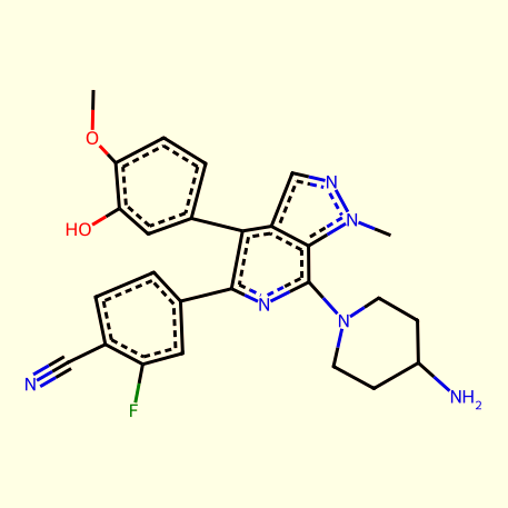 COc1ccc(-c2c(-c3ccc(C#N)c(F)c3)nc(N3CCC(N)CC3)c3c2cnn3C)cc1O